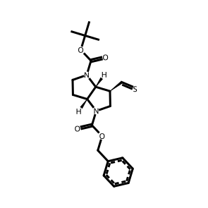 CC(C)(C)OC(=O)N1CC[C@@H]2[C@H]1[C@@H](C=S)CN2C(=O)OCc1ccccc1